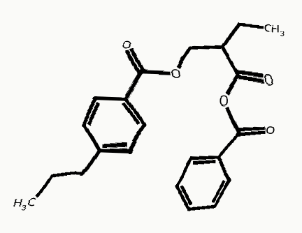 CCCc1ccc(C(=O)OCC(CC)C(=O)OC(=O)c2ccccc2)cc1